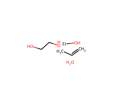 C=CC.CCO.O.OCCO